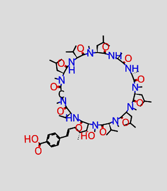 CC[C@@H]1NC(=O)[C@H]([C@H](O)[C@H](C)C/C=C/c2ccc(C(=O)O)cc2)N(C)C(=O)[C@H](C(C)C)N(C)C(=O)C(CC(C)C)N(C)C(=O)[C@H](CC(C)C)N(C)C(=O)[C@@H](C)NC(=O)[C@H](C)NC(=O)[C@H](CC(C)C)N(C)C(=O)[C@H](C(C)C)NC(=O)[C@H](CC(C)C)N(C)C(=O)CN(C)C1=O